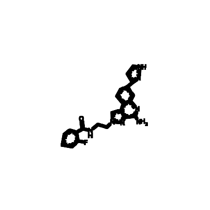 Nc1nc2cc(-c3cc[nH]n3)ccc2c2cn(CCNC(=O)c3ccccc3F)nc12